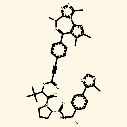 Cc1ncsc1-c1ccc([C@H](C)NC(=O)[C@@H]2CCCN2C(=O)C(NC(=O)C#Cc2ccc(C3=N[C@@H](C)c4nnc(C)n4-c4sc(C)c(C)c43)cc2)C(C)(C)C)cc1